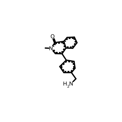 Cn1cc(-c2ccc(CN)cc2)c2ccccc2c1=O